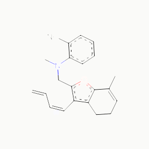 C=C/C=C\c1c(CN(C)c2ccccc2C#N)oc2c1CCC=C2C